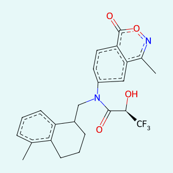 Cc1cccc2c1CCCC2CN(C(=O)[C@@H](O)C(F)(F)F)c1ccc2c(=O)onc(C)c2c1